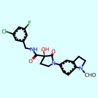 O=CN1CCc2cc(N3CC[C@](O)(C(=O)NCc4cc(F)cc(Cl)c4)C3=O)ccc21